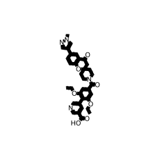 CCOc1cc(C(=O)N2CCC3(CC2)CC(=O)c2cc(-c4cnn(C)c4)ccc2O3)cc(OCC)c1-c1cncc(C(=O)O)c1